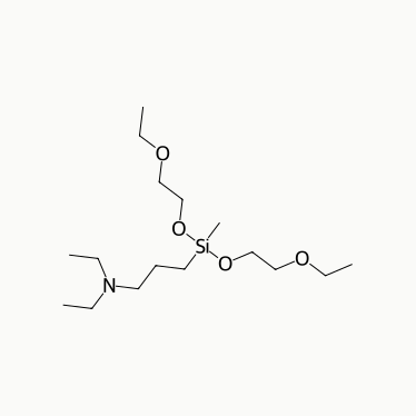 CCOCCO[Si](C)(CCCN(CC)CC)OCCOCC